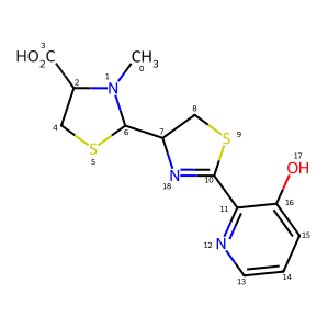 CN1C(C(=O)O)CSC1C1CSC(c2ncccc2O)=N1